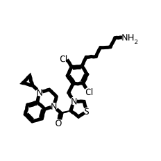 NCCCCCc1cc(Cl)c(CN2CSC[C@H]2C(=O)N2CCN(C3CC3)c3ccccc32)cc1Cl